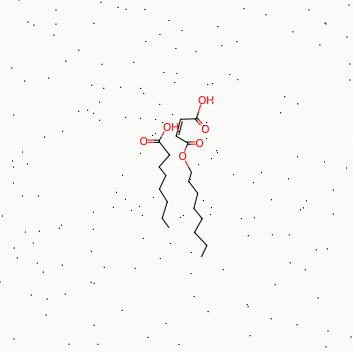 CCCCCCCC(=O)O.CCCCCCCCOC(=O)/C=C\C(=O)O